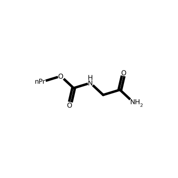 CCCOC(=O)NCC(N)=O